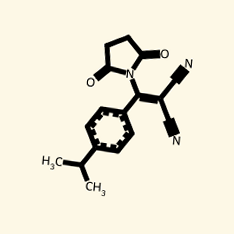 CC(C)c1ccc(C(=C(C#N)C#N)N2C(=O)CCC2=O)cc1